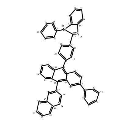 c1ccc(-c2ccc3c(-c4ccc(-c5nc6ccccc6n5-c5ccccc5)cc4)c4ccccc4c(-c4ccc5ccccc5c4)c3c2)cc1